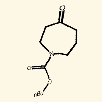 CCCCOC(=O)N1CCCC(=O)CC1